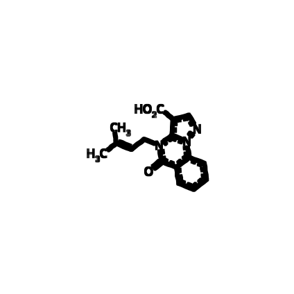 CC(C)=CCn1c(=O)c2ccccc2n2ncc(C(=O)O)c12